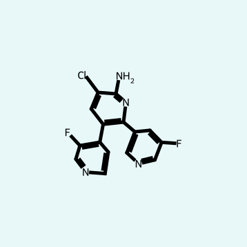 Nc1nc(-c2cncc(F)c2)c(-c2ccncc2F)cc1Cl